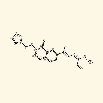 C=C/C(=C\C=C(/C)c1ccc2cnn(CCn3cccc3)c(=O)c2c1)OC(F)(F)F